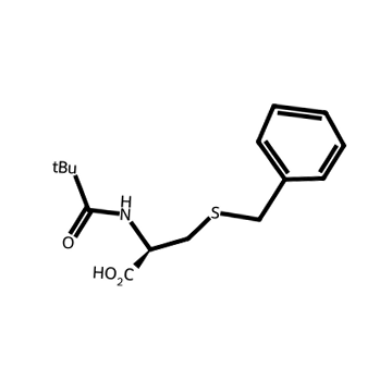 CC(C)(C)C(=O)N[C@@H](CSCc1ccccc1)C(=O)O